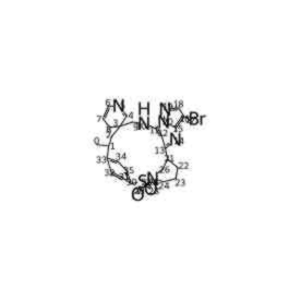 CC1CC2(C=NC=CC2)CNc2cc(nc3c(Br)cnn23)C2CCCN(C2)S(=O)(=O)c2ccc1cc2